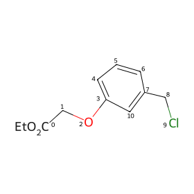 CCOC(=O)COc1cccc(CCl)c1